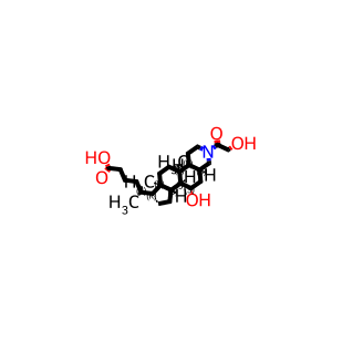 C[C@H](CCCC(=O)O)[C@H]1CC[C@H]2[C@@H]3[C@@H](O)C[C@@H]4CN(C(=O)CO)CC[C@]4(C)[C@H]3CC[C@]12C